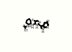 CCC(=O)NC1CCCCC1NC1NC(c2c[nH]c3ncc(Cl)cc23)=NC=C1F